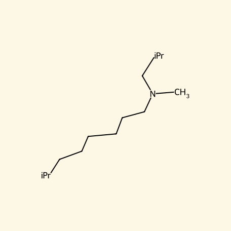 CC(C)CCCCCCN(C)CC(C)C